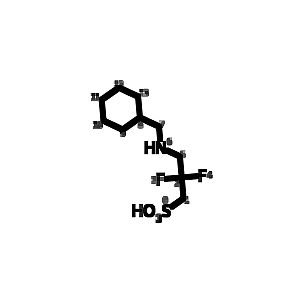 O=S(=O)(O)CC(F)(F)CNCC1CCCCC1